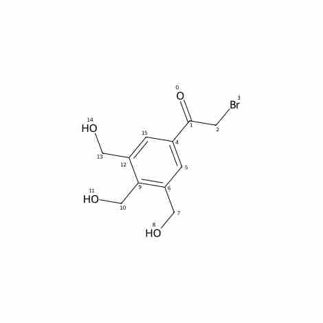 O=C(CBr)c1cc(CO)c(CO)c(CO)c1